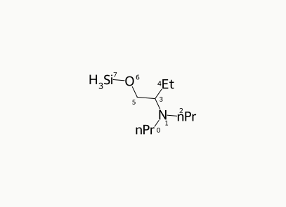 CCCN(CCC)C(CC)CO[SiH3]